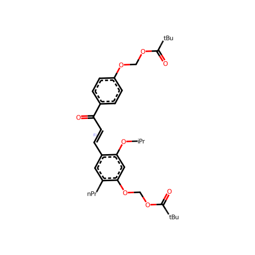 CCCc1cc(/C=C/C(=O)c2ccc(OCOC(=O)C(C)(C)C)cc2)c(OC(C)C)cc1OCOC(=O)C(C)(C)C